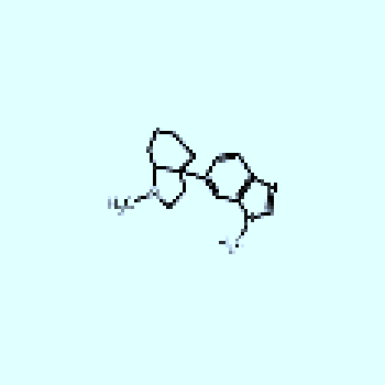 CN1CCC2(c3ccc4ncn(C)c4c3)CCCCC12